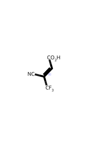 N#C/C(=C\C(=O)O)C(F)(F)F